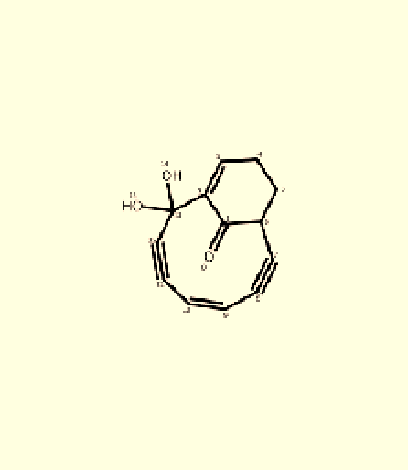 O=C1C2=CCCC1C#CC=CC#CC2(O)O